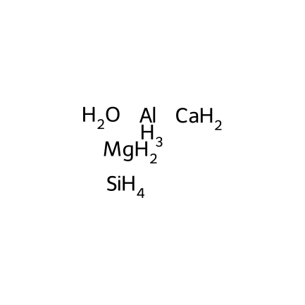 O.[AlH3].[CaH2].[MgH2].[SiH4]